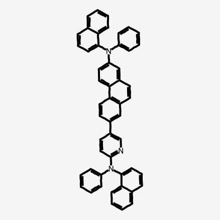 c1ccc(N(c2ccc3c(ccc4cc(-c5ccc(N(c6ccccc6)c6cccc7ccccc67)nc5)ccc43)c2)c2cccc3ccccc23)cc1